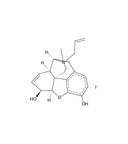 C=CC[N+]1(C)CC[C@]23c4c5ccc(O)c4O[C@H]2[C@@H](O)C=C[C@H]3[C@H]1C5.[I-]